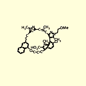 COCCn1nc2c(c1C)-c1c(Cl)ccc3c(c(C(=O)O)n(C)c13)CCCOc1cc(cc3ccccc13)SCc1cc(nn1C)CN(C)C2